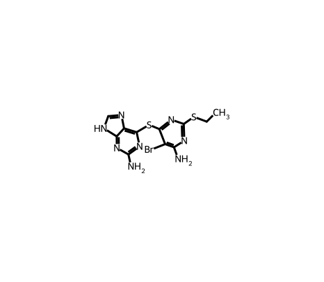 CCSc1nc(N)c(Br)c(Sc2nc(N)nc3[nH]cnc23)n1